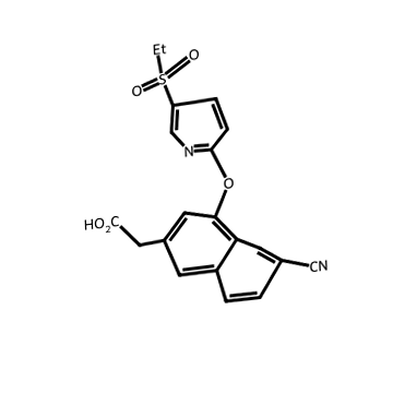 CCS(=O)(=O)c1ccc(Oc2cc(CC(=O)O)cc3ccc(C#N)cc23)nc1